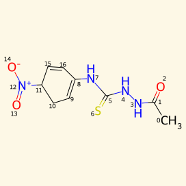 CC(=O)NNC(=S)NC1=CCC([N+](=O)[O-])C=C1